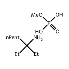 CCCCCC(N)(CC)CC.COP(=O)(O)O